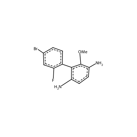 COc1c(N)ccc(N)c1-c1ccc(Br)cc1F